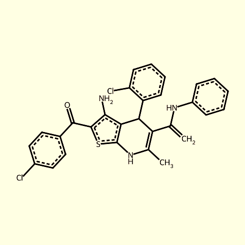 C=C(Nc1ccccc1)C1=C(C)Nc2sc(C(=O)c3ccc(Cl)cc3)c(N)c2C1c1ccccc1Cl